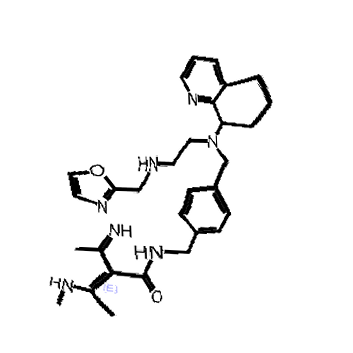 CN/C(C)=C(\C(C)=N)C(=O)NCc1ccc(CN(CCNCc2ncco2)C2CCCc3cccnc32)cc1